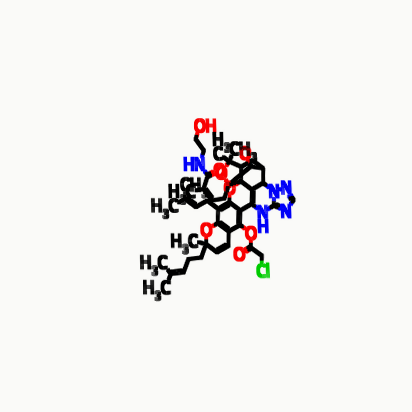 CC(C)=CCCC1(C)C=Cc2c(c(CC=C(C)C)c3c(c2OC(=O)CCl)C2=C4C(C5CC6C(C)(C)OC(C/C=C(/C)C(=O)NCCO)(C5=O)C46O3)n3ncnc3N2)O1